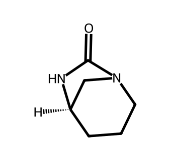 O=C1N[C@@H]2CCCN1C2